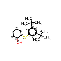 CC(C)(C)c1cc(S[C@@H]2CCCC[C@@H]2O)cc(C(C)(C)C)c1